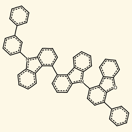 c1ccc(-c2cccc(-n3c4ccccc4c4c(-c5cccc6c5c5ccccc5n6-c5ccc(-c6ccccc6)c6oc7ccccc7c56)cccc43)c2)cc1